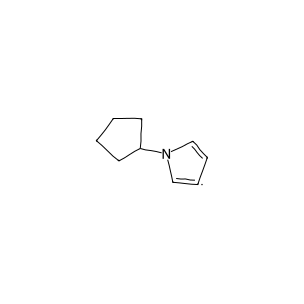 [c]1ccn(C2CCCC2)c1